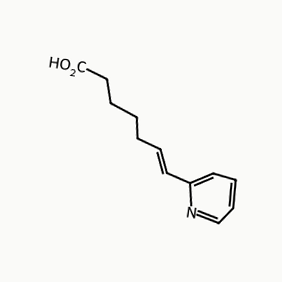 O=C(O)CCCCC=Cc1ccccn1